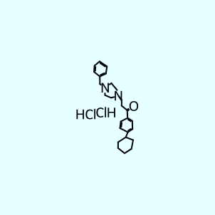 Cl.Cl.O=C(CCN1CCN(Cc2ccccc2)CC1)c1ccc(C2CCCCC2)cc1